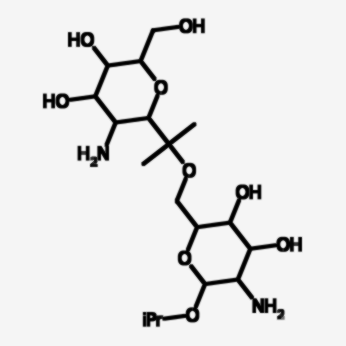 CC(C)OC1OC(COC(C)(C)C2OC(CO)C(O)C(O)C2N)C(O)C(O)C1N